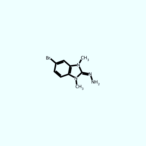 Cn1c(=NN)n(C)c2cc(Br)ccc21